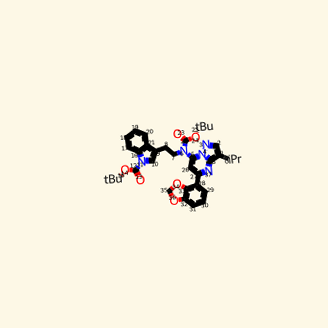 CC(C)c1cnn2c(N(CCc3cn(C(=O)OC(C)(C)C)c4ccccc34)C(=O)OC(C)(C)C)cc(-c3cccc4c3OCO4)nc12